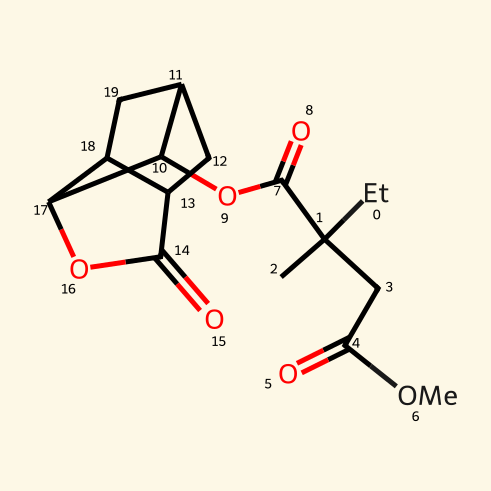 CCC(C)(CC(=O)OC)C(=O)OC1C2CC3C(=O)OC1C3C2